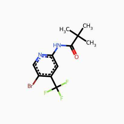 CC(C)(C)C(=O)Nc1cc(C(F)(F)F)c(Br)cn1